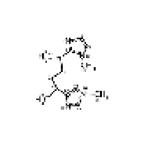 CC(CCC(C)c1nccn1C)c1cn(C)cn1